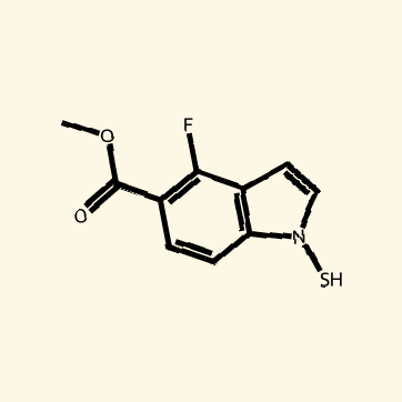 COC(=O)c1ccc2c(ccn2S)c1F